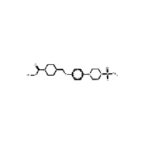 CC(C)OC(=O)N1CCC(COc2ccc(N3CCN(S(C)(=O)=O)CC3)cc2)CC1